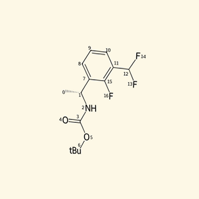 C[C@@H](NC(=O)OC(C)(C)C)c1cccc(C(F)F)c1F